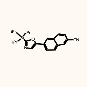 CC(C)[Si](c1ncc(-c2ccc3cc(C#N)ccc3c2)o1)(C(C)C)C(C)C